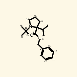 CC(C)C1(C(=O)OCc2ccccc2)CCCN1C(C)(C)C